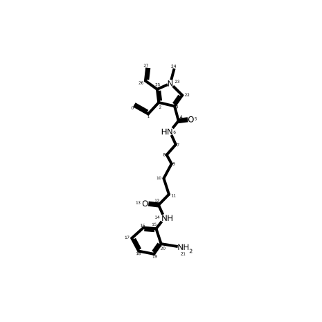 C=Cc1c(C(=O)NCCCCCC(=O)Nc2ccccc2N)cn(C)c1C=C